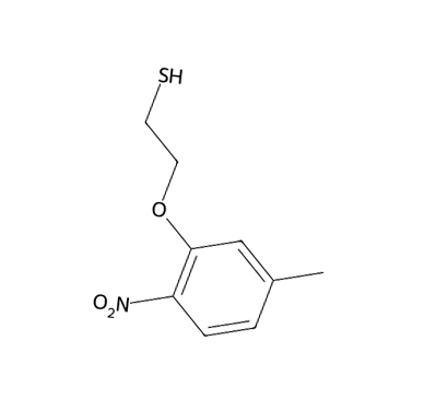 Cc1ccc([N+](=O)[O-])c(OCCS)c1